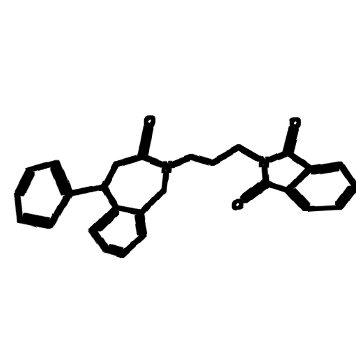 O=C1CC(c2ccccc2)c2ccccc2CN1CCCN1C(=O)c2ccccc2C1=O